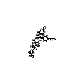 CC#Cc1cccc(-c2cc(Cl)ccc2S(=O)(=O)N2CCC(F)(C(=O)NC/C=C/S(C)(=O)=O)CC2)c1